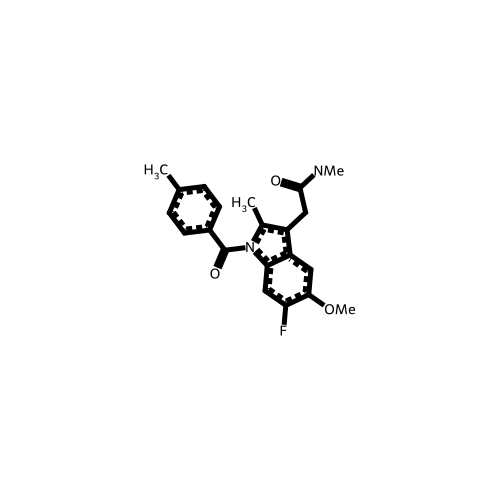 CNC(=O)Cc1c(C)n(C(=O)c2ccc(C)cc2)c2cc(F)c(OC)cc12